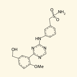 COc1ccc(CO)cc1-c1ncnc(Nc2cccc(CS(N)(=O)=O)c2)n1